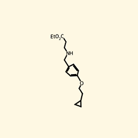 CCOC(=O)CCNCc1ccc(OCCC2CC2)cc1